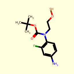 CC(C)(C)OC(=O)N(CCOS)c1ccc(N)cc1F